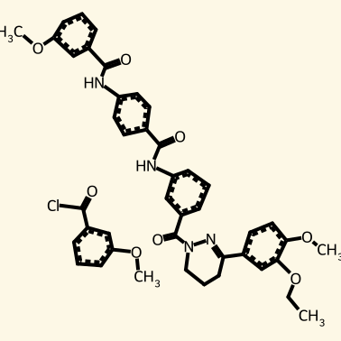 CCOc1cc(C2=NN(C(=O)c3cccc(NC(=O)c4ccc(NC(=O)c5cccc(OC)c5)cc4)c3)CCC2)ccc1OC.COc1cccc(C(=O)Cl)c1